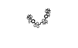 CC1(C)OB(c2ccc(C(=O)OC(=N)CCC(=O)OC(=O)c3ccc(B4OC(C)(C)C(C)(C)O4)c(F)c3)cc2F)OC1(C)C